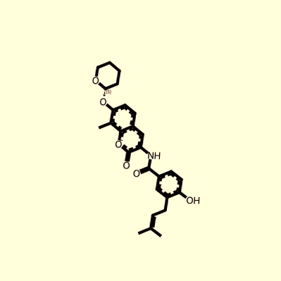 CC(C)=CCc1cc(C(=O)Nc2cc3ccc(O[C@H]4CCCCO4)c(C)c3oc2=O)ccc1O